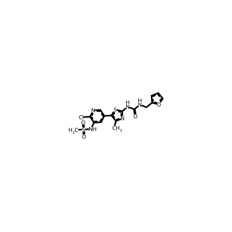 Cc1nc(NC(=O)NCc2ccco2)sc1-c1cnc(Cl)c(NS(C)(=O)=O)c1